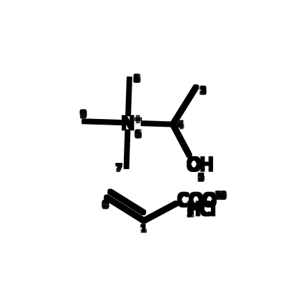 C=CC(=O)[O-].CC(O)[N+](C)(C)C.Cl